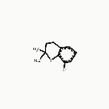 CC1(C)CCc2cccc(Br)c2O1